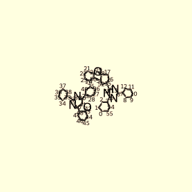 c1ccc(-c2nc(-c3ccccc3)nc(-c3ccc4oc5cccc(-c6cccc(-c7nc(-c8ccccc8)nc8c7oc7ccccc78)c6)c5c4c3)n2)cc1